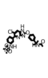 CC(=O)NC(C)(C)c1ccc(Oc2nc3nc(-c4cccc(NS(=O)(=O)N(C)C)c4)c(Cl)cc3[nH]2)cc1